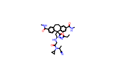 CCc1nnc(C2(CCNCC(=O)N(C(C)C#N)C3CC3)c3ccc(C(=O)NC)cc3CCc3cc(C(=O)NC)ccc32)o1